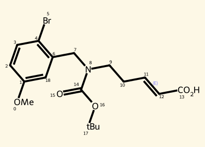 COc1ccc(Br)c(CN(CC/C=C/C(=O)O)C(=O)OC(C)(C)C)c1